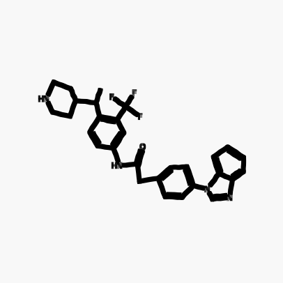 CC(c1ccc(NC(=O)Cc2ccc(-n3cnc4ccccc43)cc2)cc1C(F)(F)F)C1CCNCC1